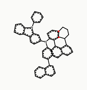 c1ccc(-n2c3ccccc3c3ccc(N(c4ccc(-c5cccc6ccccc56)cc4)c4ccccc4-c4cccc5cccc(C6CCCCC6)c45)cc32)cc1